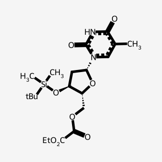 CCOC(=O)C(=O)OC[C@H]1O[C@@H](n2cc(C)c(=O)[nH]c2=O)C[C@@H]1O[Si](C)(C)C(C)(C)C